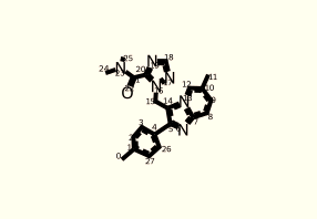 Cc1ccc(-c2nc3ccc(C)cn3c2Cn2ncnc2C(=O)N(C)C)cc1